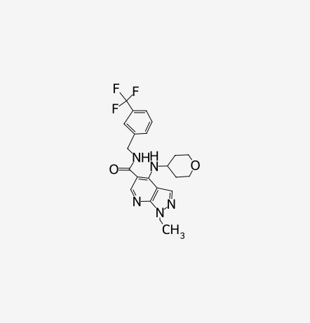 CCn1ncc2c(NC3CCOCC3)c(C(=O)NCc3cccc(C(F)(F)F)c3)cnc21